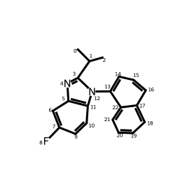 CC(C)c1nc2cc(F)ccc2n1-c1cccc2ccccc12